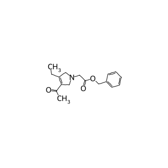 CCC1=C(C(C)=O)CN(CC(=O)OCc2ccccc2)C1